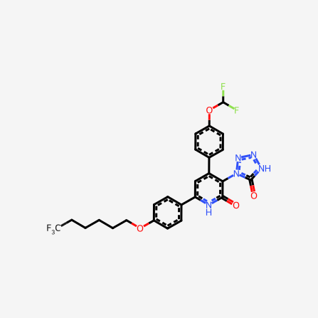 O=c1[nH]c(-c2ccc(OCCCCCC(F)(F)F)cc2)cc(-c2ccc(OC(F)F)cc2)c1-n1nn[nH]c1=O